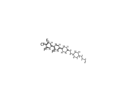 CCCCC1CCC(CCC2CCC(c3ccc(-c4cc(F)c(Cl)c(F)c4)c(F)c3)CC2)CC1